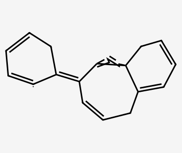 [C]1=CC=CCC1=C1C=CCC2=CC=CCC23CC=CC=C13